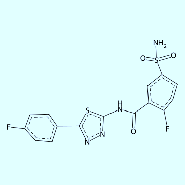 NS(=O)(=O)c1ccc(F)c(C(=O)Nc2nnc(-c3ccc(F)cc3)s2)c1